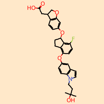 CC(C)(O)CCn1ccc2cc(Oc3ccc(F)c4c3CC[C@H]4Oc3ccc4c(c3)OCC4CC(=O)O)ccc21